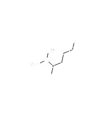 CCCC(CCCS)[SiH](OC)OC